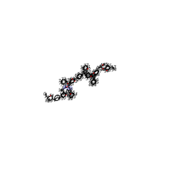 C=CC1=CCC(COCc2ccc3c(c2)C(=C)/C=C(N(c2ccc(-c4ccc(N(c5ccccc5)c5ccc6c(c5)c5cc(CC(CC)Cc7ccc(C=C)cc7)ccc5n6-c5ccccc5)cc4)cc2)C2C=CC=CC2)\C=C/N3c2ccccc2)C=C1